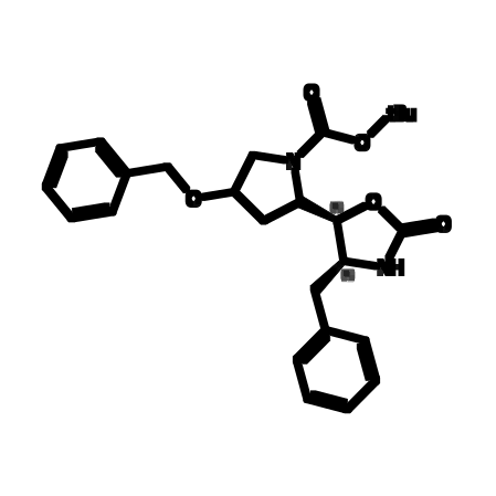 CC(C)(C)OC(=O)N1CC(OCc2ccccc2)CC1[C@H]1OC(=O)N[C@H]1Cc1ccccc1